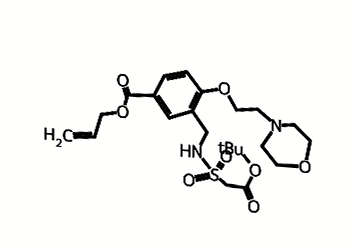 C=CCOC(=O)c1ccc(OCCN2CCOCC2)c(CNS(=O)(=O)CC(=O)OC(C)(C)C)c1